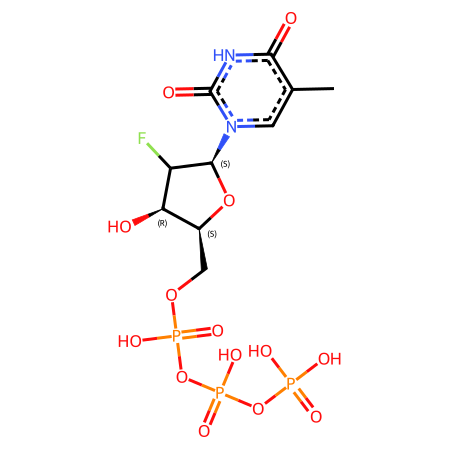 Cc1cn([C@H]2O[C@@H](COP(=O)(O)OP(=O)(O)OP(=O)(O)O)[C@@H](O)C2F)c(=O)[nH]c1=O